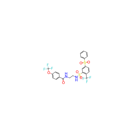 O=C(NCCNS(=O)(=O)c1cc(S(=O)(=O)c2ccccc2)ccc1C(F)(F)F)c1ccc(OC(F)(F)F)cc1